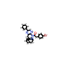 O=C(Cc1ccc(Br)cc1)Nc1ncc(-c2ccccc2)nc1CC12CC3CC(CC(C3)C1)C2